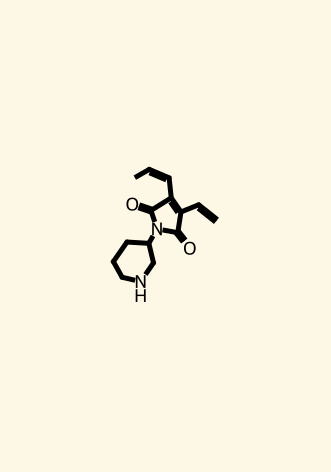 C=CC1=C(/C=C\C)C(=O)N(C2CCCNC2)C1=O